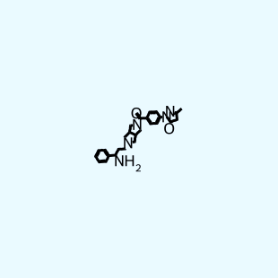 CC1=NN(c2ccc(C(=O)N3CC4CN(CC[C@H](N)c5ccccc5)CC4C3)cc2)C(=O)C1